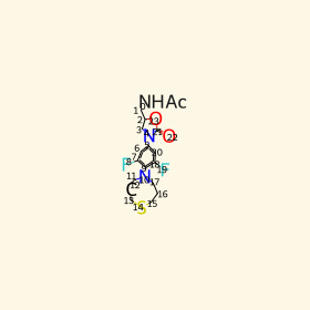 CC(=O)NCC1CN(c2cc(F)c(N3CCCSCCC3)c(F)c2)C(=O)O1